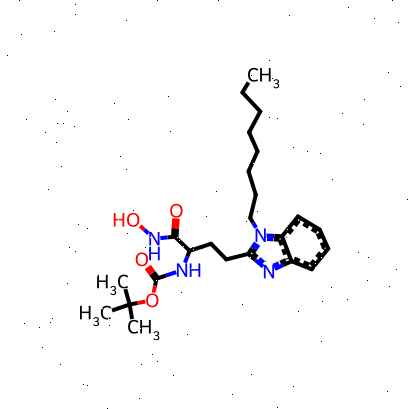 CCCCCCCCn1c(CCC(NC(=O)OC(C)(C)C)C(=O)NO)nc2ccccc21